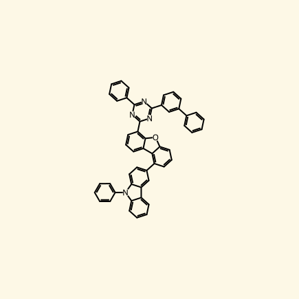 c1ccc(-c2cccc(-c3nc(-c4ccccc4)nc(-c4cccc5c4oc4cccc(-c6ccc7c(c6)c6ccccc6n7-c6ccccc6)c45)n3)c2)cc1